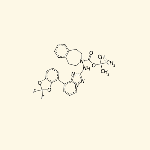 CC(C)(C)OC(=O)[N+]1(Nc2nc3c(-c4cccc5c4OC(F)(F)O5)cccn3n2)CCc2ccccc2CC1